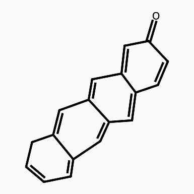 O=C1C=Cc2cc3cc4c(cc3cc2=C1)CC=CC=4